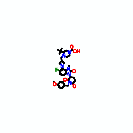 COc1ccc(CN2C(=O)CCC(n3c(=O)n(C)c4c(N5CC(CN6CCN(C(=O)O)CC6C(C)(C)C)C5)c(F)ccc43)C2=O)cc1